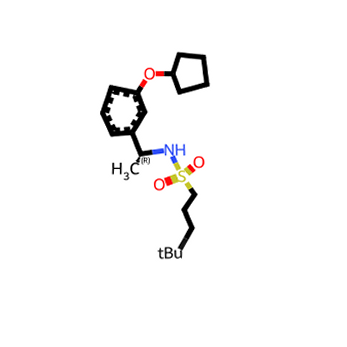 C[C@@H](NS(=O)(=O)CCCC(C)(C)C)c1cccc(OC2CCCC2)c1